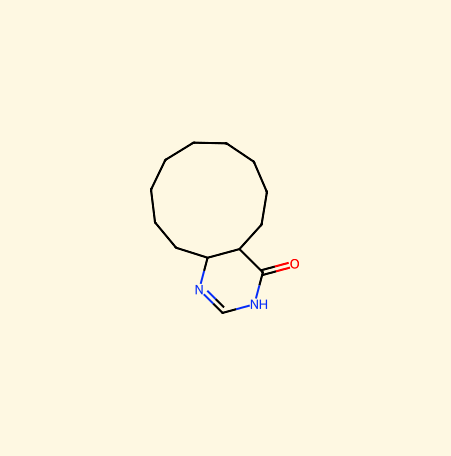 O=C1NC=NC2CCCCCCCCCC12